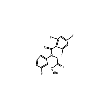 CC(C)(C)OC(=O)CN(C(=O)c1c(F)cc(F)cc1F)c1cccc(F)c1